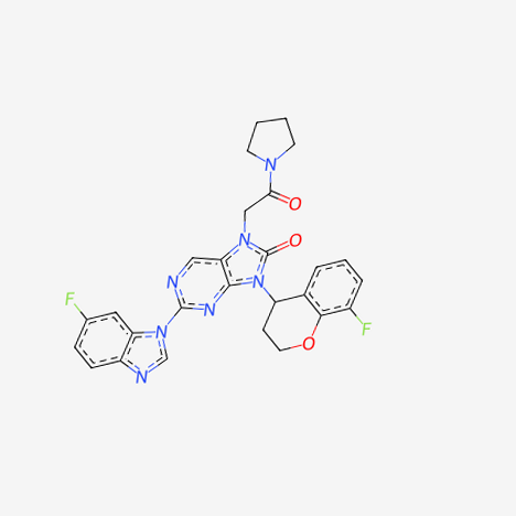 O=C(Cn1c(=O)n(C2CCOc3c(F)cccc32)c2nc(-n3cnc4ccc(F)cc43)ncc21)N1CCCC1